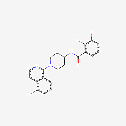 O=C(NC1CCN(c2nccc3c(Br)cccc23)CC1)c1cccc(Cl)c1Cl